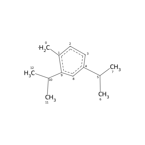 [CH2]c1ccc(C(C)C)cc1C(C)C